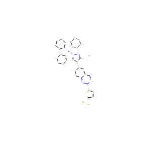 CS(=O)(=O)c1ccc(-c2ncc3cc(-c4cn(C(c5ccccc5)(c5ccccc5)c5ccccc5)nc4CBr)ccc3n2)s1